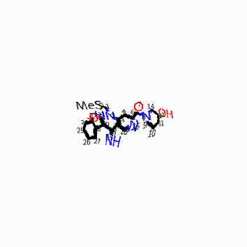 CSCNc1cc(C(=O)N2CCCC(O)C2)ncc1C(=N)c1coc2ccccc12